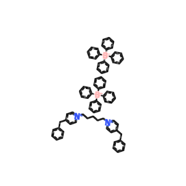 c1ccc(Cc2cc[n+](CCCCC[n+]3ccc(Cc4ccccc4)cc3)cc2)cc1.c1ccc([B-](c2ccccc2)(c2ccccc2)c2ccccc2)cc1.c1ccc([B-](c2ccccc2)(c2ccccc2)c2ccccc2)cc1